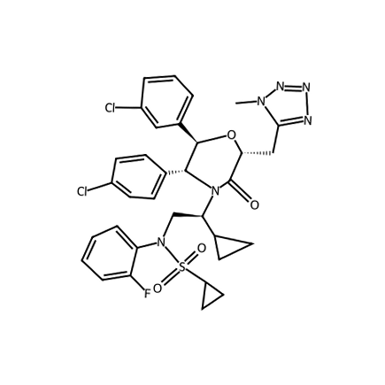 Cn1nnnc1C[C@H]1O[C@H](c2cccc(Cl)c2)[C@@H](c2ccc(Cl)cc2)N([C@H](CN(c2ccccc2F)S(=O)(=O)C2CC2)C2CC2)C1=O